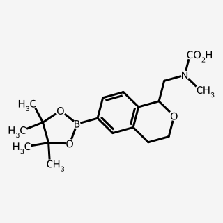 CN(CC1OCCc2cc(B3OC(C)(C)C(C)(C)O3)ccc21)C(=O)O